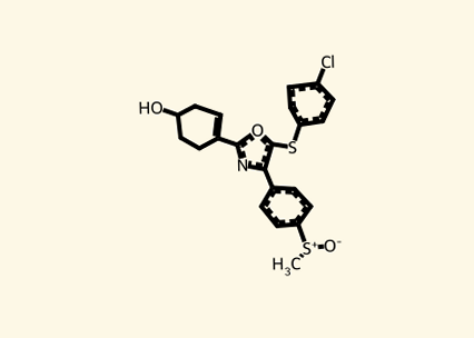 C[S+]([O-])c1ccc(-c2nc(C3=CCC(O)CC3)oc2Sc2ccc(Cl)cc2)cc1